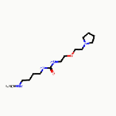 O=CNCCCCNC(=O)NCCOCCN1CCCC1